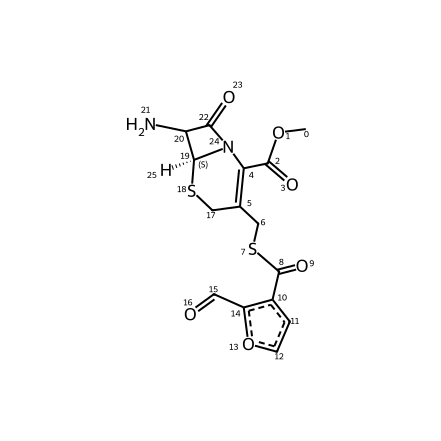 COC(=O)C1=C(CSC(=O)c2ccoc2C=O)CS[C@H]2C(N)C(=O)N12